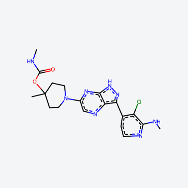 CNC(=O)OC1(C)CCN(c2cnc3c(-c4ccnc(NC)c4Cl)n[nH]c3n2)CC1